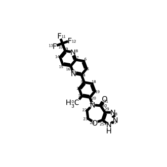 Cc1cc(-c2ccc3nc(C(F)(F)F)ccc3n2)ccc1N1CCOc2[nH]nnc2C1=O